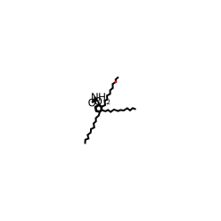 CCCCCCCCCCCc1ccc(OC(N)=O)c(CCCCCCCCCCC)c1CCCCCCCCCCC